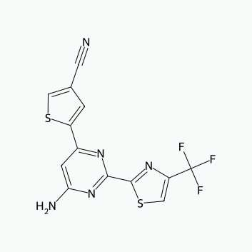 N#Cc1csc(-c2cc(N)nc(-c3nc(C(F)(F)F)cs3)n2)c1